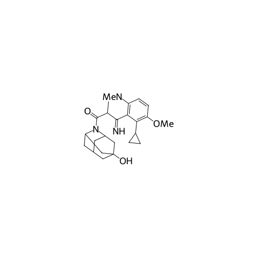 CNc1ccc(OC)c(C2CC2)c1C(=N)C(C)C(=O)N1C2CC3CC1CC(O)(C3)C2